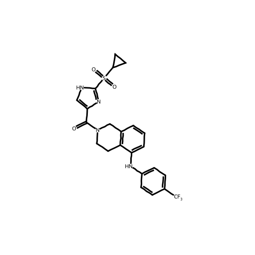 O=C(c1c[nH]c(S(=O)(=O)C2CC2)n1)N1CCc2c(cccc2Nc2ccc(C(F)(F)F)cc2)C1